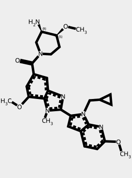 COc1ccc2cc(-c3nc4cc(C(=O)N5CC[C@H](OC)[C@H](N)C5)cc(OC)c4n3C)n(CC3CC3)c2n1